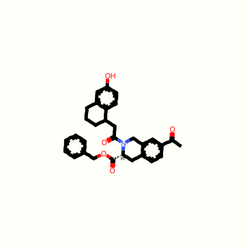 CC(=O)c1ccc2c(c1)CN(C(=O)CC1CCCc3cc(O)ccc31)[C@@H](C(=O)OCc1ccccc1)C2